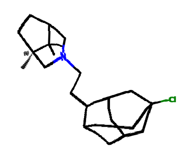 CC1(C)C2CC[C@]1(C)CN(CCC1C3CC4CC1CC(Cl)(C4)C3)C2